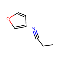 CCC#N.c1ccoc1